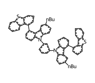 CCCCc1ccc2c(c1)c1c(-c3cccc4sc5ccccc5c34)cccc1n2-c1cccc(-n2c3ccc(CCCC)cc3c3c(-c4cccc5sc6ccccc6c45)cccc32)c1